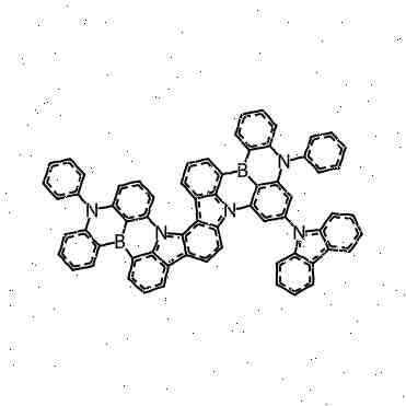 c1ccc(N2c3ccccc3B3c4c2cc(-n2c5ccccc5c5ccccc52)cc4-n2c4ccc5c6cccc7c6n(c5c4c4cccc3c42)-c2cccc3c2B7c2ccccc2N3c2ccccc2)cc1